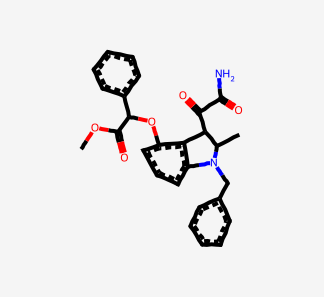 COC(=O)C(Oc1cccc2c1C(C(=O)C(N)=O)C(C)N2Cc1ccccc1)c1ccccc1